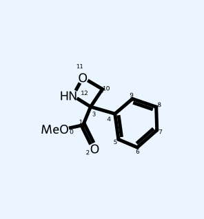 COC(=O)C1(c2ccccc2)[CH]ON1